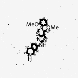 COc1cccc(OC)c1N1CSc2nc(Nc3ccc4c(c3)CNCC4)ncc2C1=O